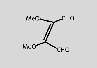 CO/C(C=O)=C(/C=O)OC